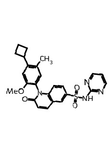 COc1cc(C2CCC2)c(C)cc1-n1c(=O)ccc2cc(S(=O)(=O)Nc3ncccn3)ccc21